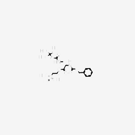 CC(C)(C)OC(=O)NC[C@H](NC(=O)OCc1ccccc1)C(=O)OCC[Si](C)(C)C